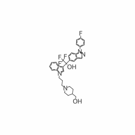 OCC1CCN(CCCn2cc(C(O)(c3ccc4c(cnn4-c4ccc(F)cc4)c3)C(F)(F)F)c3ccccc32)CC1